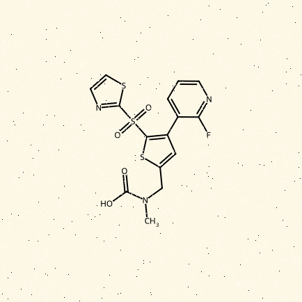 CN(Cc1cc(-c2cccnc2F)c(S(=O)(=O)c2nccs2)s1)C(=O)O